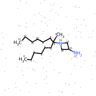 CCCCCCC(C)(CCCCCC)N1CC(N)C1